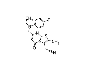 CCN(Cc1cc(=O)n2c(CC#N)c(C)sc2n1)c1ccc(F)cc1